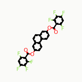 O=C(Oc1ccc2c(ccc3cc(OC(=O)c4c(F)cc(F)c(F)c4F)ccc32)c1)c1c(F)cc(F)c(F)c1F